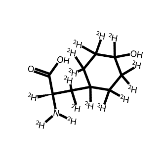 [2H]N([2H])[C@]([2H])(C(=O)O)C([2H])([2H])C1([2H])C([2H])([2H])C([2H])([2H])C([2H])(O)C([2H])([2H])C1([2H])[2H]